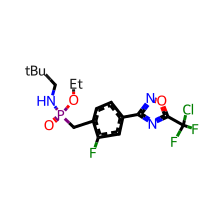 CCOP(=O)(Cc1ccc(-c2noc(C(F)(F)Cl)n2)cc1F)NCC(C)(C)C